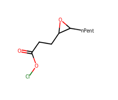 CCCCCC1OC1CCC(=O)OCl